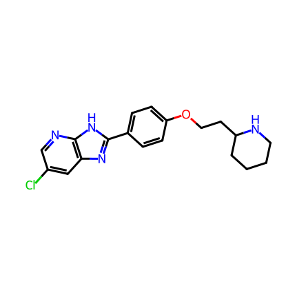 Clc1cnc2[nH]c(-c3ccc(OCCC4CCCCN4)cc3)nc2c1